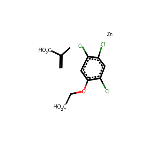 C=C(C)C(=O)O.O=C(O)COc1cc(Cl)c(Cl)cc1Cl.[Zn]